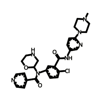 CN1CCN(c2ccc(NC(=O)c3cc(N(C(=O)c4ccncc4)C4CNCCO4)ccc3Cl)cn2)CC1